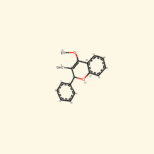 CCOC1=C(C=O)C(c2ccccc2)Oc2ccccc21